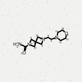 NC(=O)N1CC2(CN(CCN3CCOCC3)C2)C1